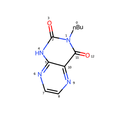 CCCCn1c(=O)[nH]c2nccnc2c1=O